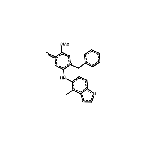 COc1cn(Cc2ccccc2)c(Nc2ccc3ncsc3c2C)nc1=O